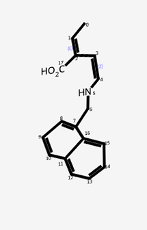 C/C=C(\C=C/NCc1cccc2ccccc12)C(=O)O